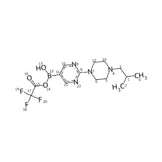 CC(C)CN1CCN(c2ncc(B(O)OC(=O)C(F)(F)F)cn2)CC1